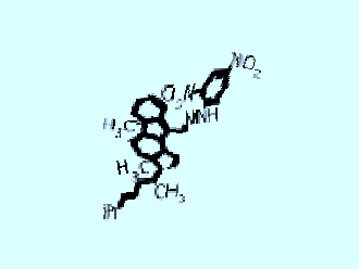 CC(C)CCC[C@@H](C)[C@H]1CCC2C3C(/C=N/Nc4ccc([N+](=O)[O-])cc4[N+](=O)[O-])=C4C=CCC[C@]4(C)C3CC[C@@]21C